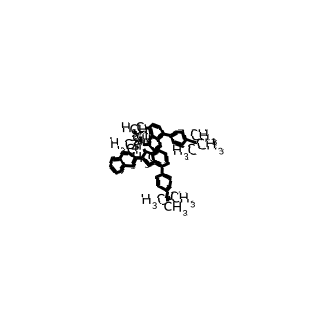 CC1=Cc2c(-c3ccc(C(C)(C)C)cc3)ccc(C)c2[CH]1[Zr]([Cl])([Cl])([CH]1C(c2ccc3ccccc3c2)=Cc2c(-c3ccc(C(C)(C)C)cc3)cccc21)[SiH](C)C